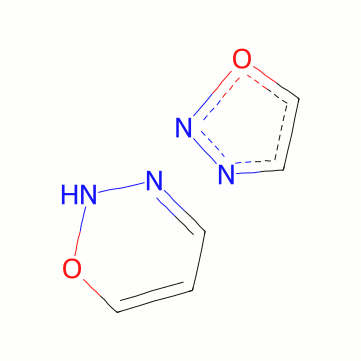 C1=CONN=C1.c1conn1